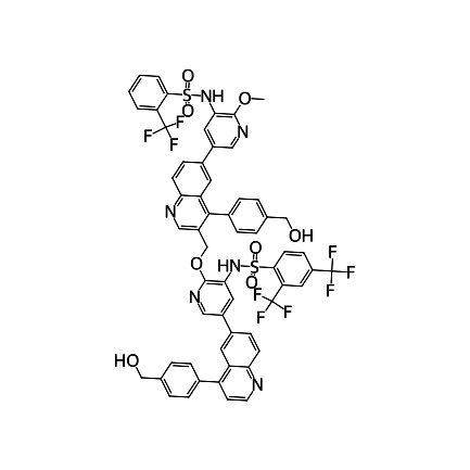 COc1ncc(-c2ccc3ncc(COc4ncc(-c5ccc6nccc(-c7ccc(CO)cc7)c6c5)cc4NS(=O)(=O)c4ccc(C(F)(F)F)cc4C(F)(F)F)c(-c4ccc(CO)cc4)c3c2)cc1NS(=O)(=O)c1ccccc1C(F)(F)F